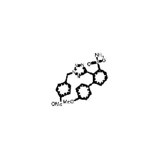 COc1ccc(Cn2nnc(-c3c(-c4ccc(OC)cc4)cccc3S(N)(=O)=O)n2)cc1